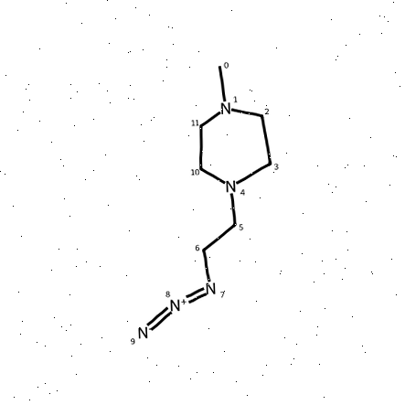 CN1CCN(CCN=[N+]=[N-])CC1